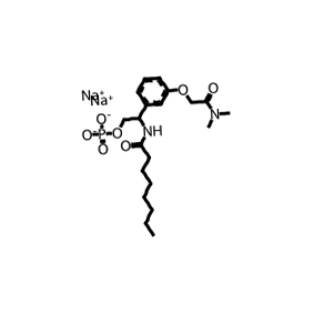 CCCCCCCC(=O)NC(COP(=O)([O-])[O-])c1cccc(OCC(=O)N(C)C)c1.[Na+].[Na+]